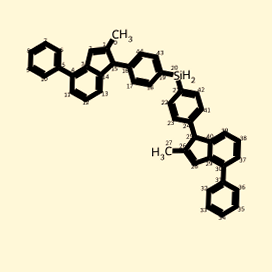 CC1=Cc2c(-c3ccccc3)cccc2C1c1ccc([SiH2]c2ccc(C3C(C)=Cc4c(-c5ccccc5)cccc43)cc2)cc1